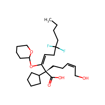 CCCCC(F)(F)C/C=C(/OC1CCCCO1)[C@](CC/C=C\CO)(C(=O)O)C1CCCC1